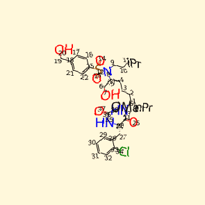 CCC[C@@H](CCC[C@@H](CO)N(CCC(C)C)S(=O)(=O)c1ccc(CO)cc1)NC(=O)[C@H](Cc1ccccc1Cl)NC(=O)OC